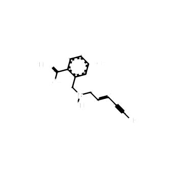 C=C(C)c1ccccc1CN(C)CC=CC#CC(C)(C)C.Cl